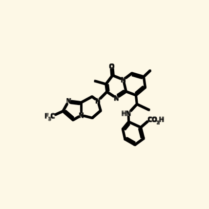 Cc1cc(C(C)Nc2ccccc2C(=O)O)c2nc(N3CCn4cc(C(F)(F)F)nc4C3)c(C)c(=O)n2c1